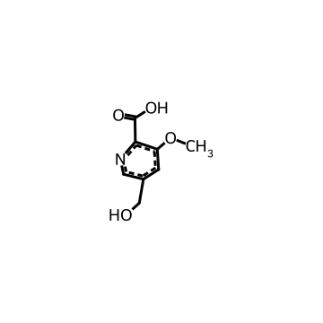 COc1cc(CO)cnc1C(=O)O